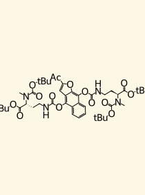 CC(=O)c1cc2c(OC(=O)NCC[C@H](C(=O)OC(C)(C)C)N(C)C(=O)OC(C)(C)C)c3ccccc3c(OC(=O)NCC[C@@H](C(=O)OC(C)(C)C)N(C)C(=O)OC(C)(C)C)c2o1